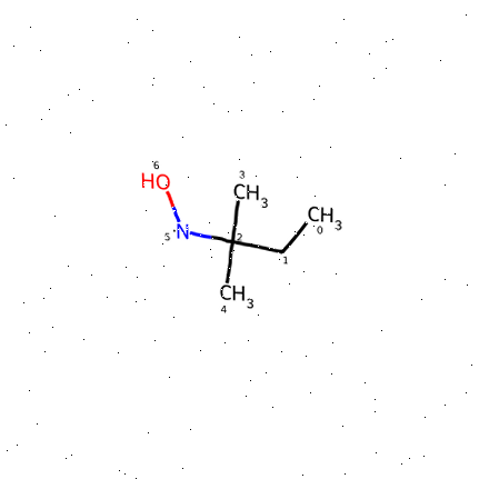 CCC(C)(C)[N]O